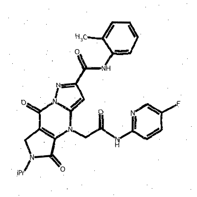 Cc1ccccc1NC(=O)c1cc2n(CC(=O)Nc3ccc(F)cn3)c3c(c(=O)n2n1)CN(C(C)C)C3=O